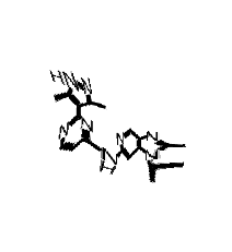 Cc1n[nH]c(C)c1-c1nccc(Nc2cc3c(cn2)nc(C)n3C(C)C)n1